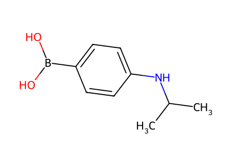 CC(C)Nc1ccc(B(O)O)cc1